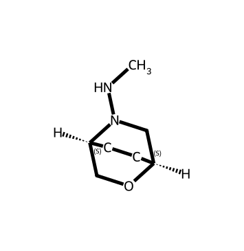 CNN1C[C@@H]2CC[C@H]1CO2